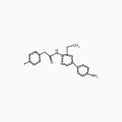 CCc1nc(-c2ccc(N)cc2)cnc1NC(=O)Cc1ccc(I)cc1